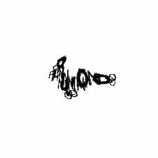 O=[N+]([O-])c1cnc(NCc2ccccc2OC(F)(F)F)nc1NC[C@H]1CC[C@H](N2CCS(=O)(=O)CC2)CC1